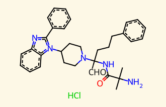 CC(C)(N)C(=O)NC(C=O)(CCCc1ccccc1)N1CCC(n2c(-c3ccccc3)nc3ccccc32)CC1.Cl